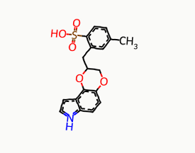 Cc1ccc(S(=O)(=O)O)c(CC2COc3ccc4[nH]ccc4c3O2)c1